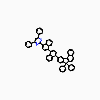 c1ccc(-c2cc(-c3ccccc3)nc(-c3ccc(-c4ccc(-c5ccc6c(c5)-c5c(ccc7ccccc57)C6(c5ccccc5)c5ccccc5)c5ccccc45)c4ccccc34)n2)cc1